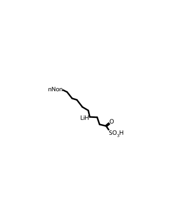 CCCCCCCCCCCCCCCCCC(=O)S(=O)(=O)O.[LiH]